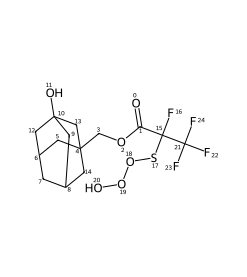 O=C(OCC12CC3CC(CC(O)(C3)C1)C2)C(F)(SOOO)C(F)(F)F